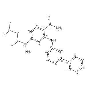 CC(C)CC(C)N(N)c1ncc(C(N)=O)c(Nc2cccc(-c3ncccn3)c2)n1